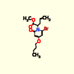 C=CCC(C(=O)OC)n1c(Br)cc(OCCCC)cc1=O